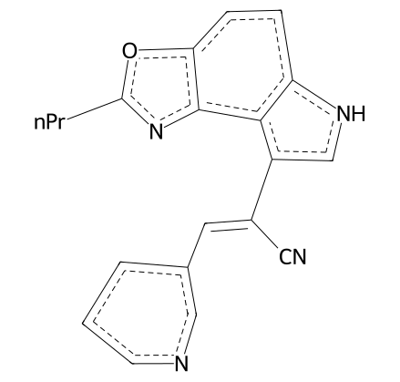 CCCc1nc2c(ccc3[nH]cc(C(C#N)=Cc4cccnc4)c32)o1